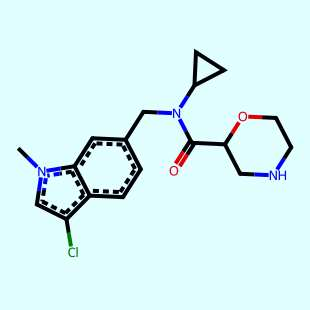 Cn1cc(Cl)c2ccc(CN(C(=O)C3CNCCO3)C3CC3)cc21